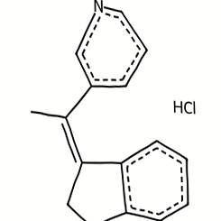 CC(=C1CCc2ccccc21)c1cccnc1.Cl